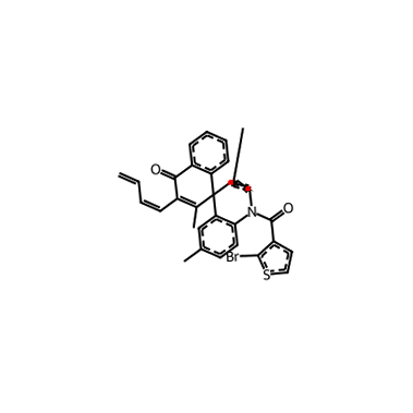 C=C/C=C\C1=C(C)C2(c3ccccc3C1=O)c1cc(C)ccc1N(C(=O)c1ccsc1Br)c1ccc(C)cc12